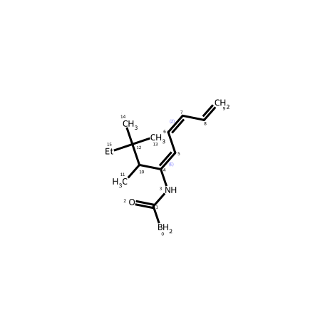 BC(=O)N/C(=C/C=C\C=C)C(C)C(C)(C)CC